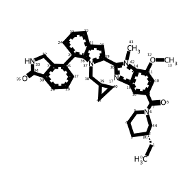 CC[C@@H]1CCCN(C(=O)c2cc(OC)c3c(c2)nc(-c2cc4cccc(-c5cccc6c5CNC6=O)c4n2CC2CC2)n3C)C1